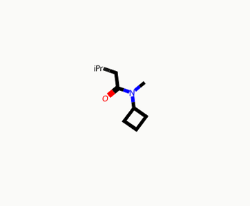 CC(C)CC(=O)N(C)C1CCC1